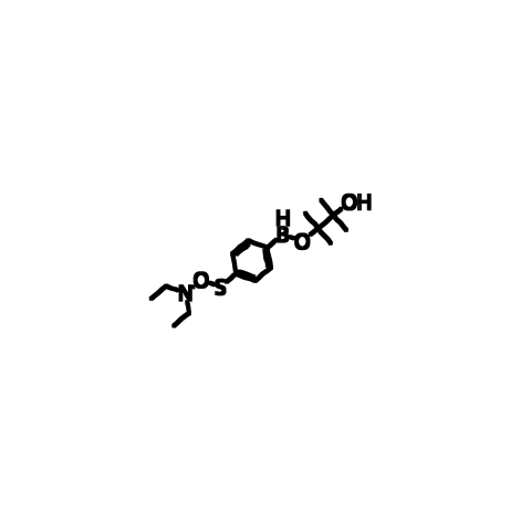 CCN(CC)OSc1ccc(BOC(C)(C)C(C)(C)O)cc1